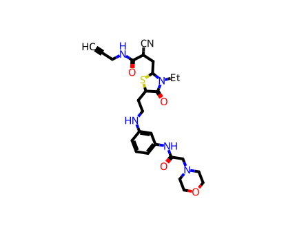 C#CCNC(=O)C(C#N)CC1SC(CCNc2cccc(NC(=O)CN3CCOCC3)c2)C(=O)N1CC